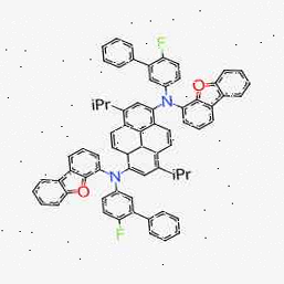 CC(C)C1=C2C=Cc3c(N(c4ccc(F)c(-c5ccccc5)c4)c4cccc5c4oc4ccccc45)cc(C(C)C)c4c3C2C(C=C4)C(N(c2ccc(F)c(-c3ccccc3)c2)c2cccc3c2oc2ccccc23)=C1